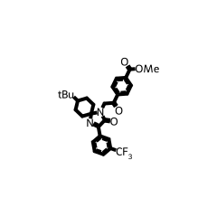 COC(=O)c1ccc(C(=O)CN2C(=O)C(c3cccc(C(F)(F)F)c3)=NC23CCC(C(C)(C)C)CC3)cc1